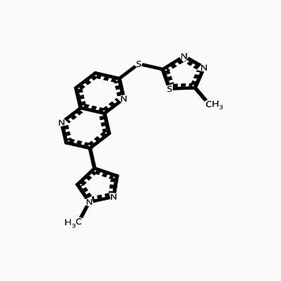 Cc1nnc(Sc2ccc3ncc(-c4cnn(C)c4)cc3n2)s1